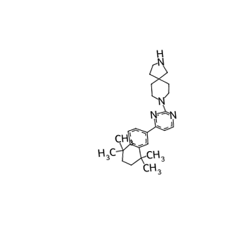 CC1(C)CCC(C)(C)c2cc(-c3ccnc(N4CCC5(CCNC5)CC4)n3)ccc21